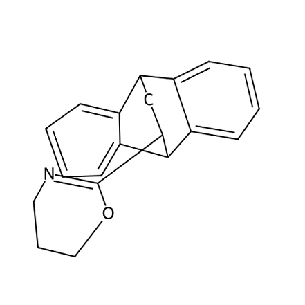 c1ccc2c(c1)C1CC(C3=NCCCO3)C2c2ccccc21